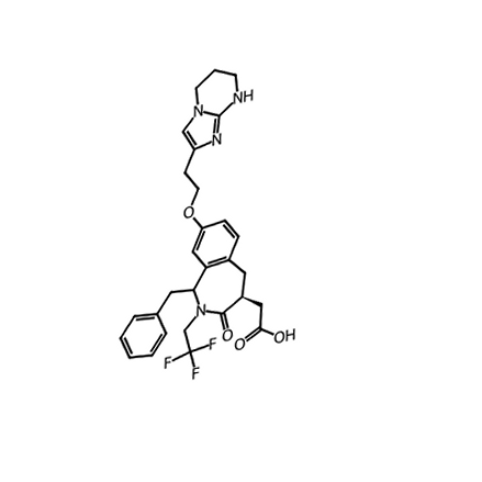 O=C(O)C[C@@H]1Cc2ccc(OCCc3cn4c(n3)NCCC4)cc2C(Cc2ccccc2)N(CC(F)(F)F)C1=O